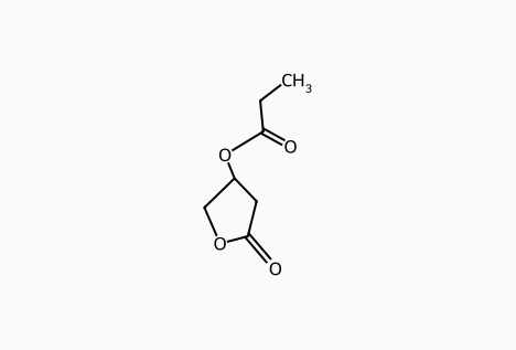 CCC(=O)OC1COC(=O)C1